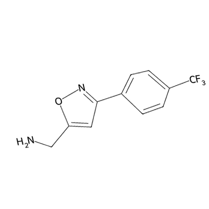 NCc1cc(-c2ccc(C(F)(F)F)cc2)no1